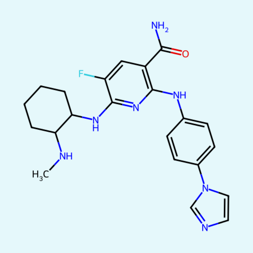 CNC1CCCCC1Nc1nc(Nc2ccc(-n3ccnc3)cc2)c(C(N)=O)cc1F